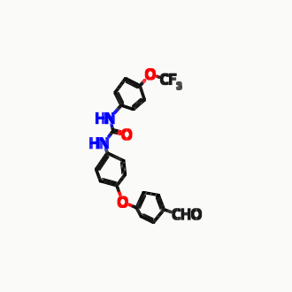 O=Cc1ccc(Oc2ccc(NC(=O)Nc3ccc(OC(F)(F)F)cc3)cc2)cc1